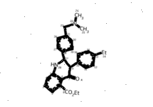 CCOC(=O)c1cccc2c1C(=O)C(c1ccc(CC)cc1)C(c1ccc(CN(C)C)cc1)N2